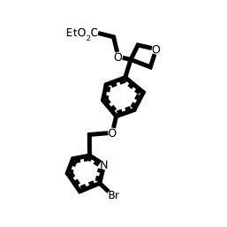 CCOC(=O)COC1(c2ccc(OCc3cccc(Br)n3)cc2)COC1